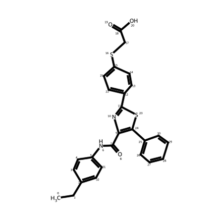 CCc1ccc(NC(=O)c2nc(-c3ccc(SCC(=O)O)cc3)sc2-c2ccccc2)cc1